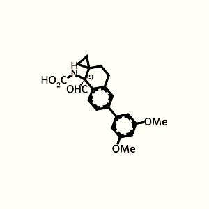 COc1cc(OC)cc(-c2ccc3c(c2)CCC2(CC2)[C@]3(C=O)NC(=O)O)c1